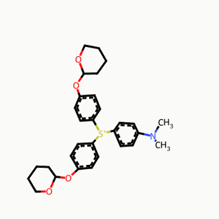 CN(C)c1ccc([S+](c2ccc(OC3CCCCO3)cc2)c2ccc(OC3CCCCO3)cc2)cc1